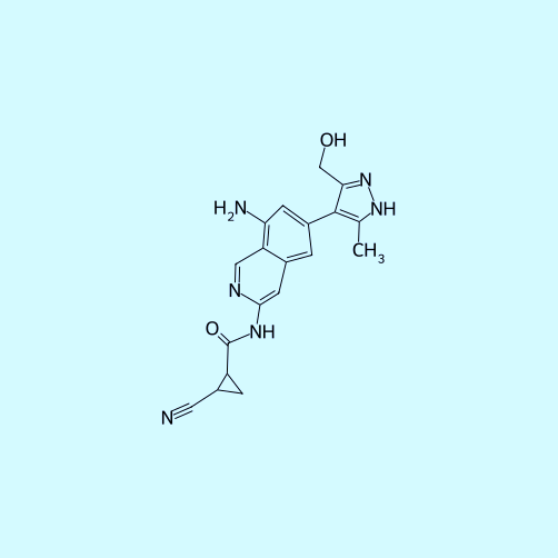 Cc1[nH]nc(CO)c1-c1cc(N)c2cnc(NC(=O)C3CC3C#N)cc2c1